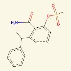 CC(c1ccccc1)c1cccc(OS(C)(=O)=O)c1C(N)=O